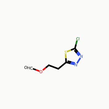 O=COCCc1nnc(Cl)s1